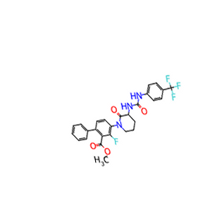 COC(=O)c1c(-c2ccccc2)ccc(N2CCCC(NC(=O)Nc3ccc(C(F)(F)F)cc3)C2=O)c1F